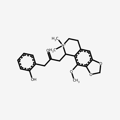 COc1c2c(cc3c1C(CC(=O)Cc1ccccc1O)[N+](C)(C)CC3)OCO2